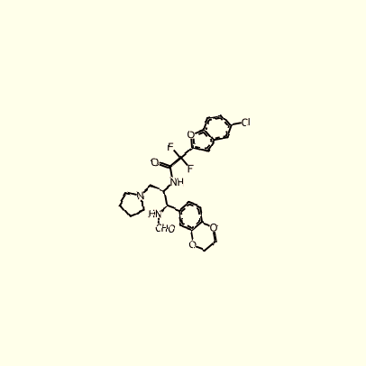 O=CN[C@H](c1ccc2c(c1)OCCO2)[C@@H](CN1CCCC1)NC(=O)C(F)(F)c1cc2cc(Cl)ccc2o1